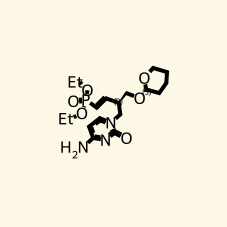 CCOP(=O)(C=C[C@@H](CO[C@H]1CCCCO1)Cn1ccc(N)nc1=O)OCC